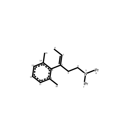 C/C=C(/CCN(C(C)C)C(C)C)c1c(C)cccc1C